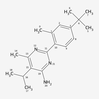 Cc1cc(C(C)(C)C)ccc1-c1nc(C)c(C(C)C)c(N)n1